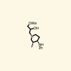 COCC(O)CN1CC[C@@H](NC(C)C)[C@@H](F)C1